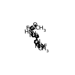 CC(=O)N1C[C@H](F)[C@H](Nc2ncc3c(-c4ccc5nc(C)n(CC(F)F)c5n4)ccn3n2)C1